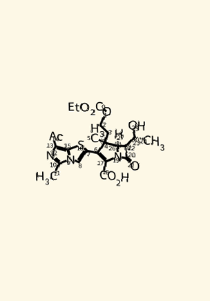 CCOC(=O)OCC[C@@]1(C)C(c2cn3c(C)nc(C(C)=O)c3s2)=C(C(=O)O)N2C(=O)[C@H]([C@@H](C)O)[C@@H]21